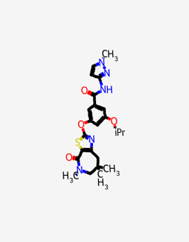 CC(C)Oc1cc(Oc2nc3c(s2)C(=O)N(C)CC(C)(C)C3)cc(C(=O)Nc2ccn(C)n2)c1